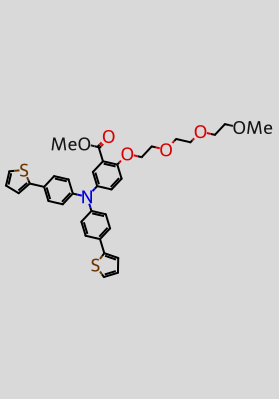 COCCOCCOCCOc1ccc(N(c2ccc(-c3cccs3)cc2)c2ccc(-c3cccs3)cc2)cc1C(=O)OC